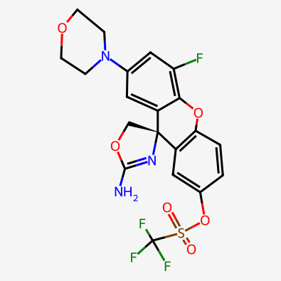 NC1=N[C@@]2(CO1)c1cc(OS(=O)(=O)C(F)(F)F)ccc1Oc1c(F)cc(N3CCOCC3)cc12